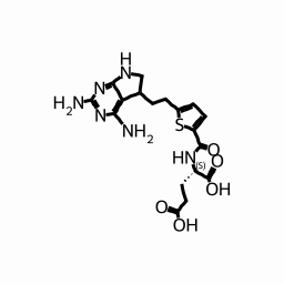 Nc1nc(N)c2c(n1)NCC2CCc1ccc(C(=O)N[C@@H](CCC(=O)O)C(=O)O)s1